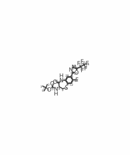 CC(C)(C)OC(=O)N[C@H]1CSc2cc(F)c(-c3nnc(C(F)(F)C(F)(F)F)o3)cc2NC1=O